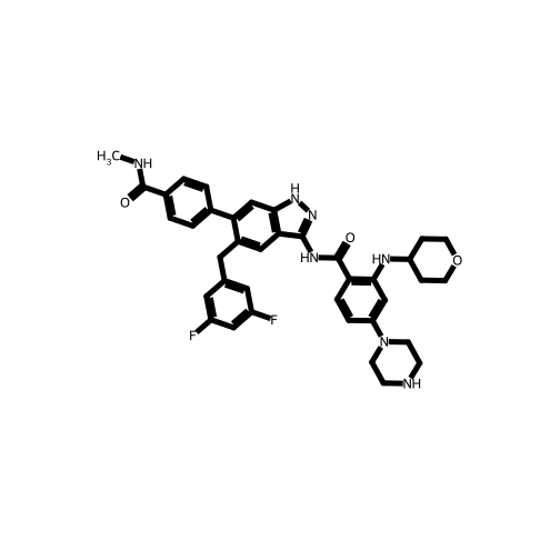 CNC(=O)c1ccc(-c2cc3[nH]nc(NC(=O)c4ccc(N5CCNCC5)cc4NC4CCOCC4)c3cc2Cc2cc(F)cc(F)c2)cc1